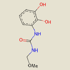 COCNC(=O)Nc1cccc(O)c1O